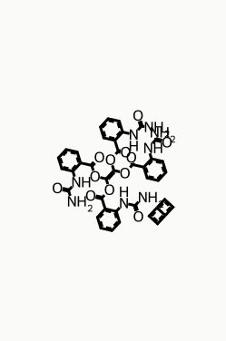 NC(=O)Nc1ccccc1C(=O)OC(OC(=O)c1ccccc1NC(N)=O)=C(OC(=O)c1ccccc1NC(N)=O)OC(=O)c1ccccc1NC(N)=O.c1cc2ccc1-2